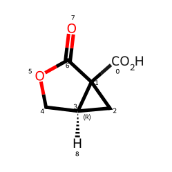 O=C(O)C12C[C@H]1COC2=O